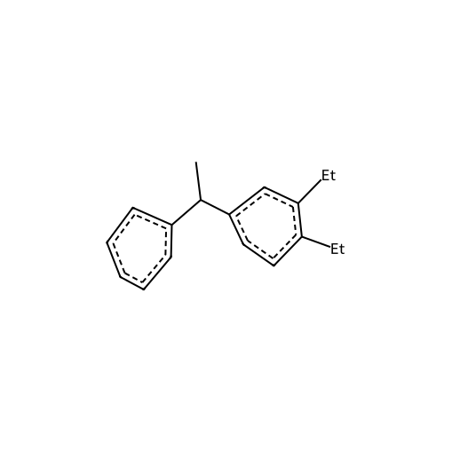 CCc1ccc(C(C)c2ccccc2)cc1CC